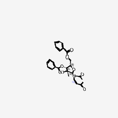 CC(=O)/C=C\N(C(C)=O)[C@@H]1O[C@H](COC(=O)c2ccccc2)[C@@H](OC(=O)c2ccccc2)[C@@]1(C)Cl